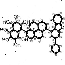 Oc1c(O)c(O)c2c(-c3ccc4ccc5c(-c6cc(-c7ccccc7)cc7oc8ccccc8c67)ccc6ccc3c4c65)c(O)c(O)c(O)c2c1O